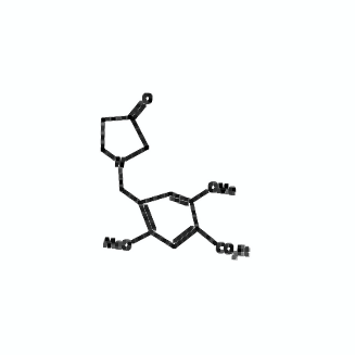 CCOC(=O)c1cc(OC)c(CN2CCC(=O)C2)cc1OC